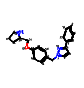 c1ccc(-c2ccn(Cc3ccc(OC[C@H]4CCCN4)cc3)n2)cc1